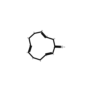 O=C1/C=C/CC/C=C/CC/C=C/C1